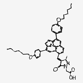 CCCCCCOc1ccc(-c2cc3ccc(/C=C4/C(=O)N(CC(=O)O)N=C4C)c4cc(-c5ccc(OCCCCCC)cc5)c5ccc2n5c34)cc1